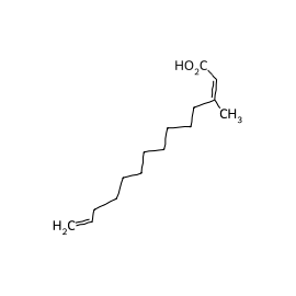 C=CCCCCCCCCCC(C)=CC(=O)O